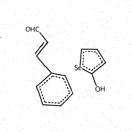 O=CC=Cc1ccccc1.Oc1ccc[se]1